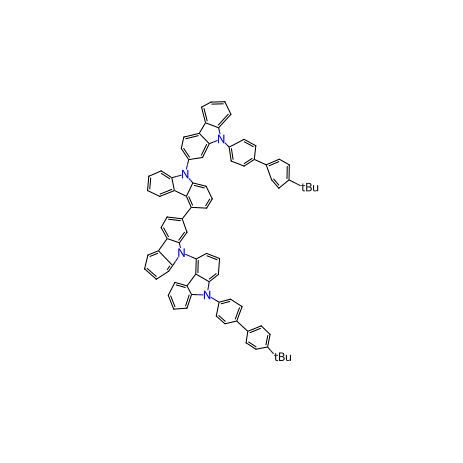 CC(C)(C)c1ccc(-c2ccc(-n3c4ccccc4c4ccc(-n5c6ccccc6c6c(-c7ccc8c9ccccc9n(-c9cccc%10c9c9ccccc9n%10-c9ccc(-c%10ccc(C(C)(C)C)cc%10)cc9)c8c7)cccc65)cc43)cc2)cc1